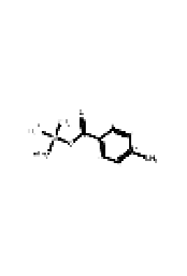 CCCCCC[Si](C)(C)OC(=O)c1ccc(N)cc1